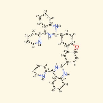 c1ccc(-c2nc(-c3ccc4oc5ccc(-c6nc(-c7ccccn7)c7ccccc7n6)cc5c4c3)nc3ccccc23)nc1